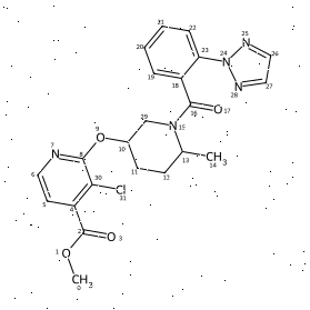 COC(=O)c1ccnc(OC2CCC(C)N(C(=O)c3ccccc3-n3nccn3)C2)c1Cl